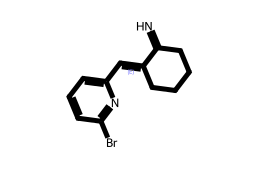 N=C1CCCC/C1=C\c1cccc(Br)n1